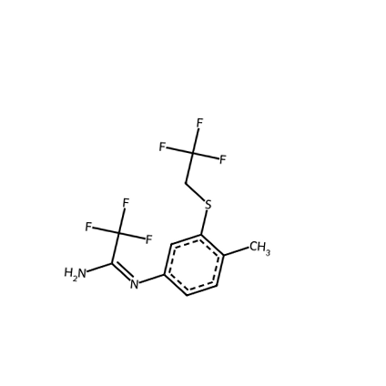 Cc1ccc(/N=C(/N)C(F)(F)F)cc1SCC(F)(F)F